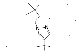 CC(C)(C)CCn1cc(C(C)(C)C)cn1